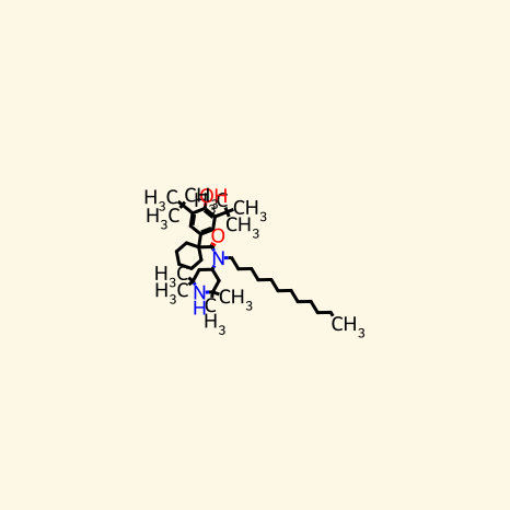 CCCCCCCCCCCCN(C(=O)C1(c2cc(C(C)(C)C)c(O)c(C(C)(C)C)c2)CCCCC1)C1CC(C)(C)NC(C)(C)C1